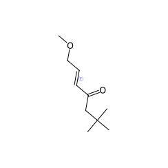 COC/C=C/C(=O)CC(C)(C)C